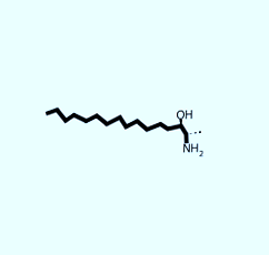 CCCCCCCCCCCCC[C@@H](O)[C@H](C)N